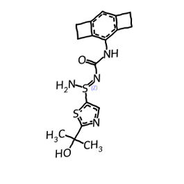 CC(C)(O)c1ncc(/S(N)=N/C(=O)Nc2c3c(cc4c2CC4)CC3)s1